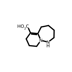 O=C(O)C1=C2CCCCNN2CCC1